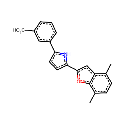 Cc1ccc(C)c2oc(-c3ccc(-c4cccc(C(=O)O)c4)[nH]3)cc12